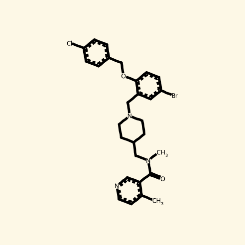 Cc1ccncc1C(=O)N(C)CC1CCN(Cc2cc(Br)ccc2OCc2ccc(Cl)cc2)CC1